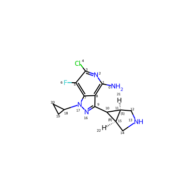 Nc1nc(Cl)c(F)c2c1c(C1[C@H]3CNC[C@@H]13)nn2C1CC1